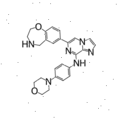 c1cn2cc(-c3ccc4c(c3)CNCCO4)nc(Nc3ccc(N4CCOCC4)cc3)c2n1